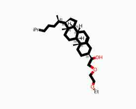 CCOCCOCC(O)[C@H]1CC[C@@]2(C)C(=CC[C@H]3[C@@H]4CC[C@H]([C@H](C)CCCC(C)C)[C@@]4(C)CC[C@@H]32)C1